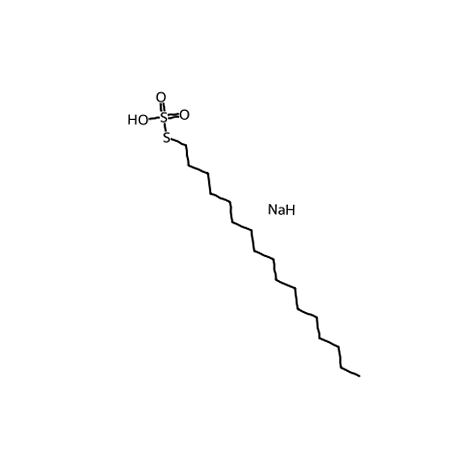 CCCCCCCCCCCCCCCCCSS(=O)(=O)O.[NaH]